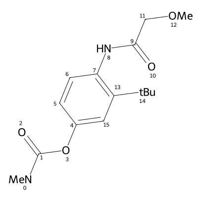 CNC(=O)Oc1ccc(NC(=O)COC)c(C(C)(C)C)c1